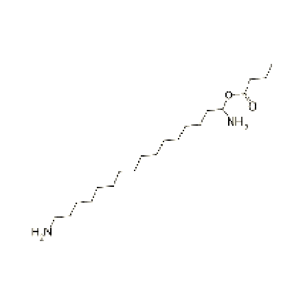 CCCC(=O)OC(N)CCCCCCCCCCCCCCCN